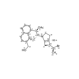 CC(=O)O[C@H](c1ccnc2ccc(CO)cc12)[C@@H](C)N1CC[C@@H]2C1C[C@@H]2[C@H](C)Br